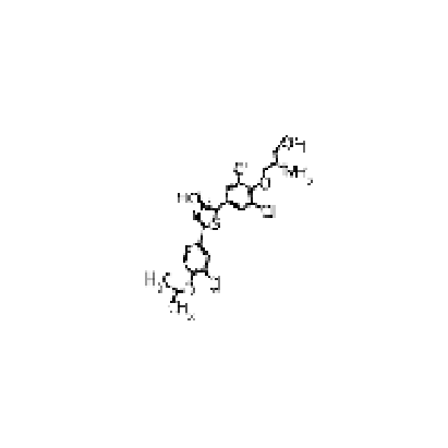 CC(C)Oc1ccc(-c2nnc(-c3cc(Cl)c(OC[C@H](N)CO)c(Cl)c3)s2)cc1Cl.Cl